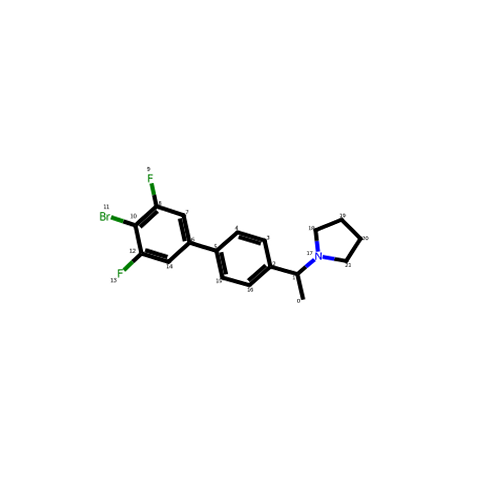 CC(c1ccc(-c2cc(F)c(Br)c(F)c2)cc1)N1CCCC1